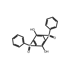 O=P1(c2ccccc2)c2c(O)c3c(c(O)c21)P3(=O)c1ccccc1